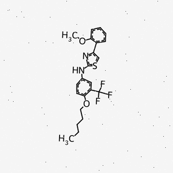 CCCCCOc1ccc(Nc2nc(-c3ccccc3OC)cs2)cc1C(F)(F)F